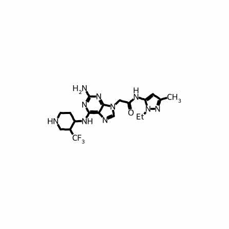 CCn1nc(C)cc1NC(=O)Cn1cnc2c(NC3CCNCC3C(F)(F)F)nc(N)nc21